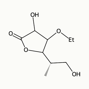 CCOC1C(O)C(=O)OC1[C@@H](C)CO